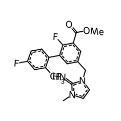 COC(=O)c1cc(Cn2ccn(C)c2=N)cc(-c2ccc(F)cc2C(F)(F)F)c1F